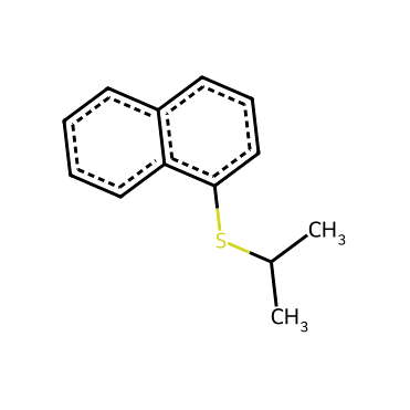 CC(C)Sc1cccc2ccccc12